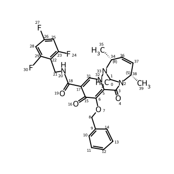 CC1N2C(=O)c3c(OCc4ccccc4)c(=O)c(C(=O)NCc4c(F)cc(F)cc4F)cn3N1[C@H](C)C=C[C@@H]2C